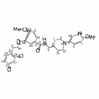 COc1ccc(N2CCC(CNC(=O)c3ccc(OC)c(OCCc4ccc(Cl)cc4Cl)c3)CC2)cn1